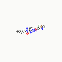 CC(C)[C@@H](COc1ccc(-c2nc3ccccc3s2)c(F)c1)Nc1ccc(C(=O)NCCC(=O)O)cn1